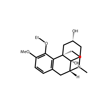 CCOc1c(OC)ccc2c1[C@]13CCN(C)[C@H](C2)[C@]1(O)CC[C@@H](O)C3